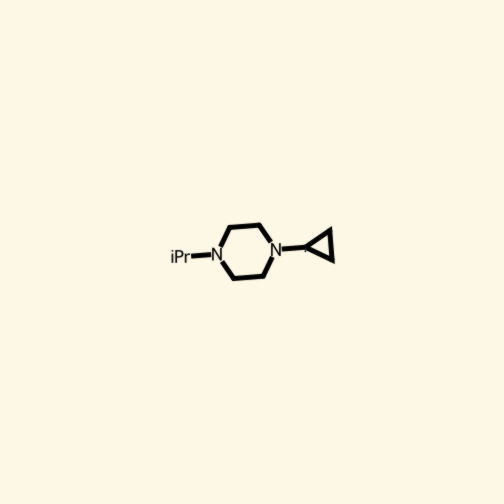 CC(C)N1CCN([C]2CC2)CC1